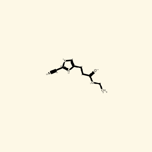 CCOC(=O)CCc1csc(C#N)n1